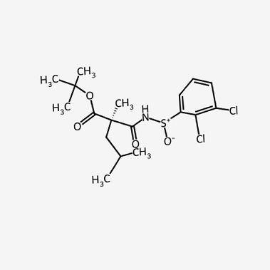 CC(C)C[C@](C)(C(=O)N[S+]([O-])c1cccc(Cl)c1Cl)C(=O)OC(C)(C)C